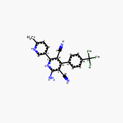 Cc1ccc(-c2nc(N)c(C#N)c(-c3ccc(C(F)(F)F)cc3)c2C#N)cn1